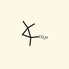 CC1(C)CC1(C)C(=O)O